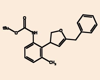 Cc1cccc(NC(=O)OC(C)(C)C)c1C1C=C(Cc2ccccc2)OC1